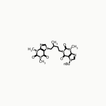 CCCCn1cnc2c1c(=O)n(CCC(C)Cn1cnc3c1c(=O)n(C)c(=O)n3C)c(=O)n2C